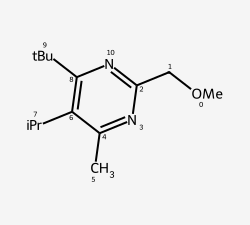 COCc1nc(C)c(C(C)C)c(C(C)(C)C)n1